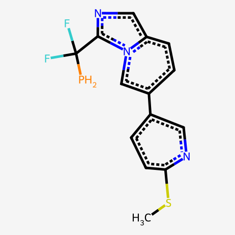 CSc1ccc(-c2ccc3cnc(C(F)(F)P)n3c2)cn1